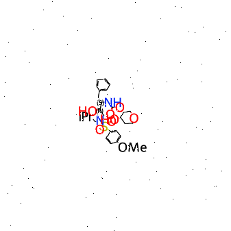 COc1ccc(S(=O)(=O)N(CC(C)C)C[C@@H](O)[C@H](Cc2ccccc2)NC(=O)OC2COCCC2O)cc1